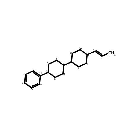 CC=CC1CCC(C2CCC(c3ccccc3)CC2)CC1